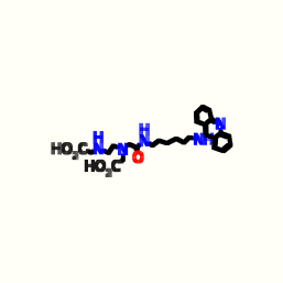 O=C(O)CNCCN(CC(=O)O)CC(=O)NCCCCCCNc1c2ccccc2nc2ccccc12